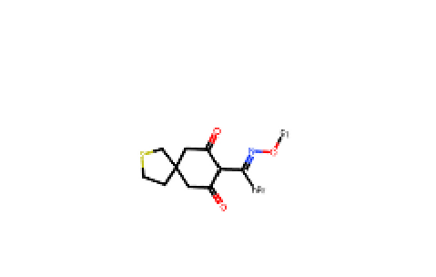 CCCC(=NOCC)C1C(=O)CC2(CCSC2)CC1=O